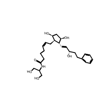 O=C(CCC/C=C\C[C@@H]1[C@@H](/C=C/[C@@H](O)CCc2ccccc2)[C@H](O)C[C@@H]1O)NC(CO)CO